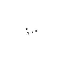 [Al].[Si].[Si].[Si]